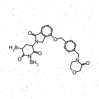 BC1CC(N2Cc3c(OCc4ccc(CN5CCOCC5=O)cc4)cccc3C2=O)C(=O)N(B)C1=O